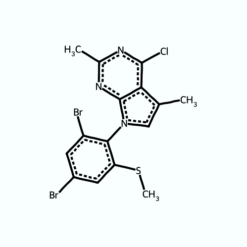 CSc1cc(Br)cc(Br)c1-n1cc(C)c2c(Cl)nc(C)nc21